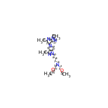 CCOCCN(CCCCCn1nc(C)c2c1CCN(c1cc(C)nc3c1cnn3C)C2)CCOCC